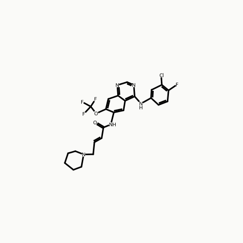 O=C(C=CCN1CCCCC1)Nc1cc2c(Nc3ccc(F)c(Cl)c3)ncnc2cc1OC(F)(F)F